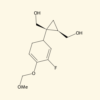 COCOC1=CCC([C@]2(CO)C[C@H]2CO)C=C1F